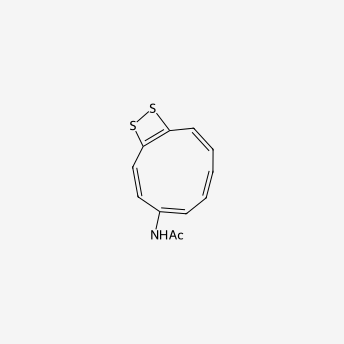 CC(=O)Nc1cccccc2ssc2cc1